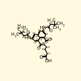 CC(C)(C)CC(=O)Nc1cc2c3c(cc(NC(=O)CC(C)(C)C)cc3c1)C(=O)N(CCCC(=O)O)C2=O